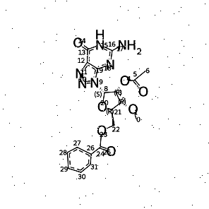 CO[C@H]1[C@@H](OC(C)=O)[C@@H](n2nnc3c(=O)[nH]c(N)nc32)O[C@@H]1COC(=O)c1ccccc1